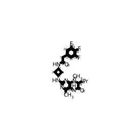 Cc1nc(N[C@H]2C[C@@H](NC(=O)Cc3cc(F)c(F)c(F)c3)C2)nc2c1NC(=O)C(C(C)C)N2C